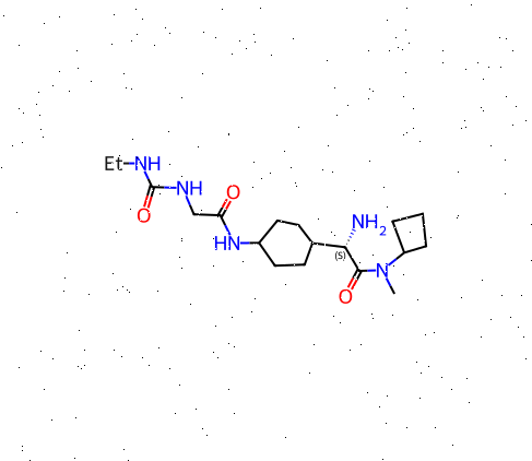 CCNC(=O)NCC(=O)NC1CCC([C@H](N)C(=O)N(C)C2CCC2)CC1